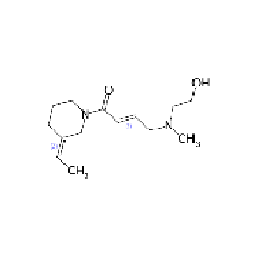 C/C=C1/CCCN(C(=O)/C=C/CN(C)CCO)C1